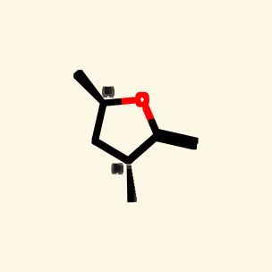 C=C1O[C@H](C)C[C@H]1C